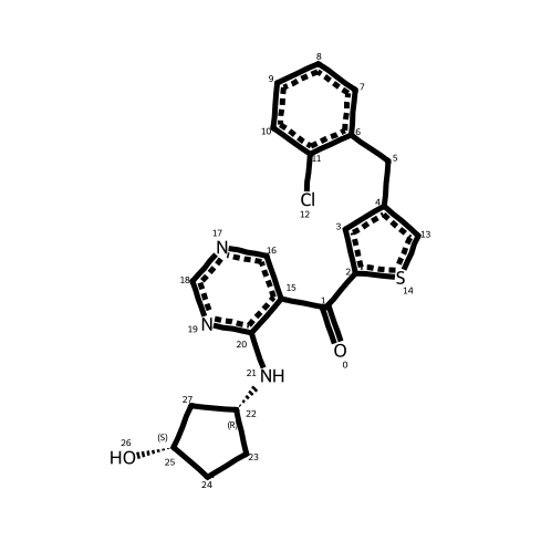 O=C(c1cc(Cc2ccccc2Cl)cs1)c1cncnc1N[C@@H]1C[CH][C@H](O)C1